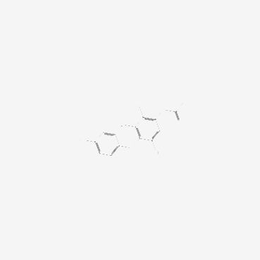 CC(=O)Oc1cc(Br)c(Oc2ccc(O)cc2)c(Br)c1C